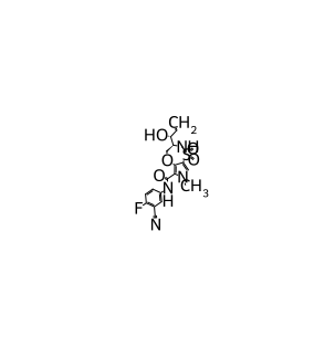 C=C[C@@H](O)[C@@H]1COc2c(cn(C)c2C(=O)Nc2ccc(F)c(C#N)c2)S(=O)(=O)N1